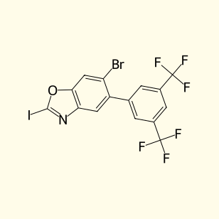 FC(F)(F)c1cc(-c2cc3nc(I)oc3cc2Br)cc(C(F)(F)F)c1